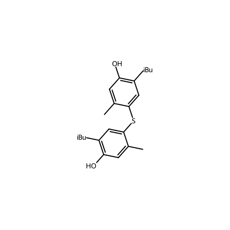 CCC(C)c1cc(Sc2cc(C(C)CC)c(O)cc2C)c(C)cc1O